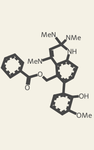 CNC1=CC(NC)(NC)Nc2ccc(-c3cccc(OC)c3O)c(COC(=O)c3ccccc3)c21